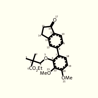 CCOC(=O)C(C)(C)COc1c(-c2ccc3c(c2)CCC3=O)ccc(OC)c1OC